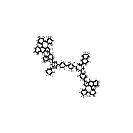 c1ccc(-c2nc(-c3ccc(-c4ccc(-c5nc(-c6ccc(-n7cc8c9c(c%10ccccc%10cc97)-c7ccccc7-c7ccccc7-8)cc6)nc(-c6ccc7ccccc7c6)n5)cc4)cc3)nc(-c3ccc(-n4cc5c6c(c7ccccc7cc64)-c4ccccc4-c4ccccc4-5)c4ccccc34)n2)cc1